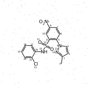 Cc1ccn(-c2ccc([N+](=O)[O-])cc2S(=O)(=O)Nc2ccccc2Cl)n1